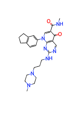 CNC(=O)c1cn(-c2ccc3c(c2)CCC3)c2nc(NCCCN3CCN(C)CC3)ncc2c1=O